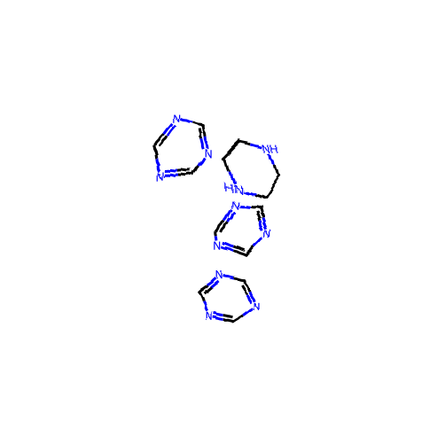 C1CNCCN1.c1ncncn1.c1ncncn1.c1ncncn1